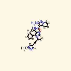 CC(NC(=O)c1c(N)nn2ccccc12)c1nc2scc(C#Cc3cnn(C)c3)n2c1-c1ccccc1